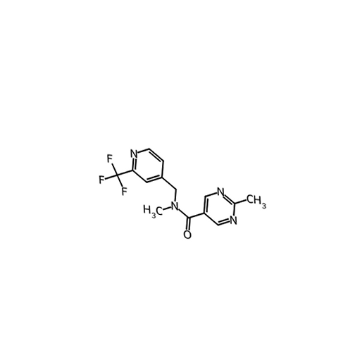 Cc1ncc(C(=O)N(C)Cc2ccnc(C(F)(F)F)c2)cn1